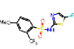 COc1ccc(S(=O)(=O)Nc2ncc(F)s2)c(C(F)(F)F)c1